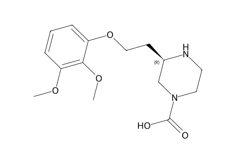 COc1cccc(OCC[C@@H]2CN(C(=O)O)CCN2)c1OC